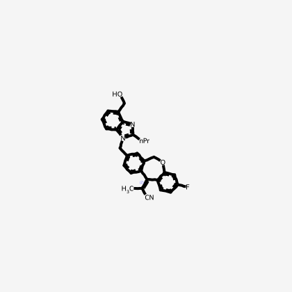 CCCc1nc2c(CO)cccc2n1Cc1ccc2c(c1)COc1cc(F)ccc1/C2=C(/C)C#N